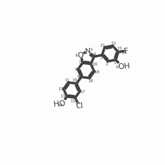 Oc1cc(-c2noc3cc(-c4ccc(O)c(Cl)c4)ccc23)ccc1F